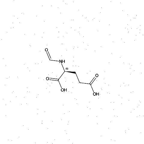 O=CN[C@@H](CCC(=O)O)C(=O)O